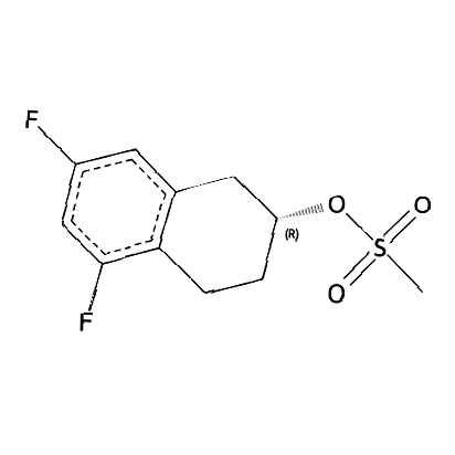 CS(=O)(=O)O[C@@H]1CCc2c(F)cc(F)cc2C1